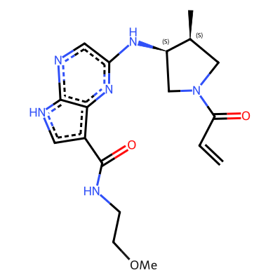 C=CC(=O)N1C[C@H](C)[C@H](Nc2cnc3[nH]cc(C(=O)NCCOC)c3n2)C1